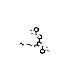 C=C(C)C(=O)NCCCNC(=O)c1cc(-c2ccc[n+](Cc3ccccc3B(O)O)c2)c[n+](Cc2ccccc2B(O)O)c1